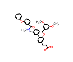 COc1cc(COc2cc(CCC(=O)O)ccc2-c2cccc(CN(C)C(=O)c3cccc(Oc4ccccc4)c3)c2)cc(OC)c1